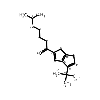 CC(C)SCCCC(=O)C1=CC2=C(CC=C2C(C)(C)C)C1